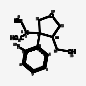 CC(C)(C)N(C(=O)O)C1(c2ccccc2F)COCC1CO